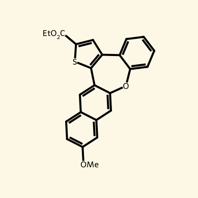 CCOC(=O)c1cc2c(s1)-c1cc3ccc(OC)cc3cc1Oc1ccccc1-2